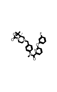 CN(C(=O)c1cccc(Oc2cccc(F)c2)n1)c1ccc(CN2CCN(C(=O)O)[C@@](C)(C(C)(C)C)C2)cc1